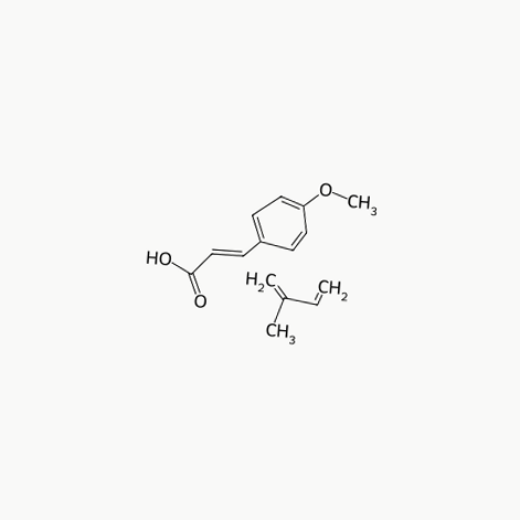 C=CC(=C)C.COc1ccc(C=CC(=O)O)cc1